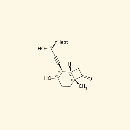 CCCCCCC[C@H](O)C#C[C@@H]1[C@@H](O)CC[C@@]2(C)C(=O)C[C@@H]12